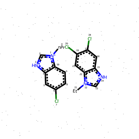 CCC[n+]1c[nH]c2cc(Cl)ccc21.CC[n+]1c[nH]c2cc(Cl)c(Cl)cc21